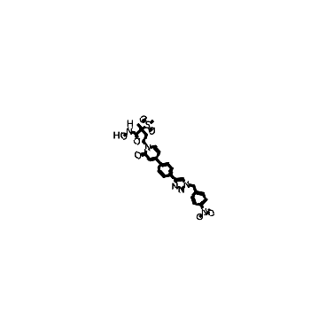 CC(CCn1ccc(-c2ccc(-c3cn(Cc4ccc([N+](=O)[O-])cc4)nn3)cc2)cc1=O)(C(=O)NO)S(C)(=O)=O